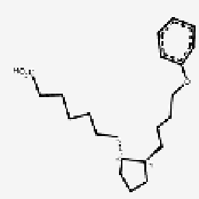 O=C(O)CCCCCC[C@H]1CCC[C@@H]1CCCCOc1ccccc1